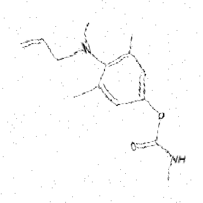 C=CCN(C)c1c(C)cc(OC(=O)NC)cc1C